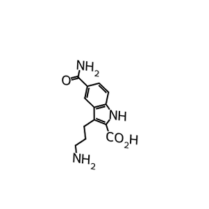 NCCCc1c(C(=O)O)[nH]c2ccc(C(N)=O)cc12